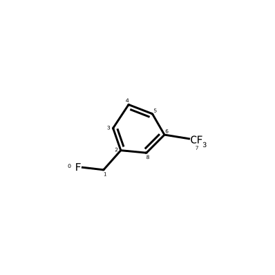 FCc1cccc(C(F)(F)F)c1